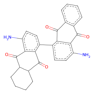 Nc1ccc(-c2ccc(N)c3c2C(=O)C2CCCCC2C3=O)c2c1C(=O)c1ccccc1C2=O